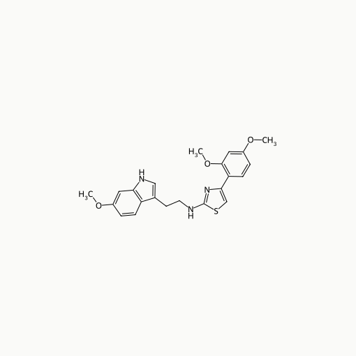 COc1ccc(-c2csc(NCCc3c[nH]c4cc(OC)ccc34)n2)c(OC)c1